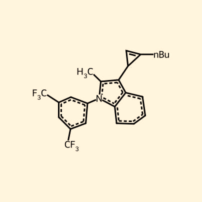 CCCCC1=CC1c1c(C)n(-c2cc(C(F)(F)F)cc(C(F)(F)F)c2)c2ccccc12